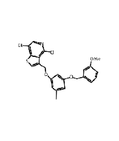 CCc1cnc(Cl)c2c(COc3cc(C)cc(OCc4cccc(OC)c4)c3)csc12